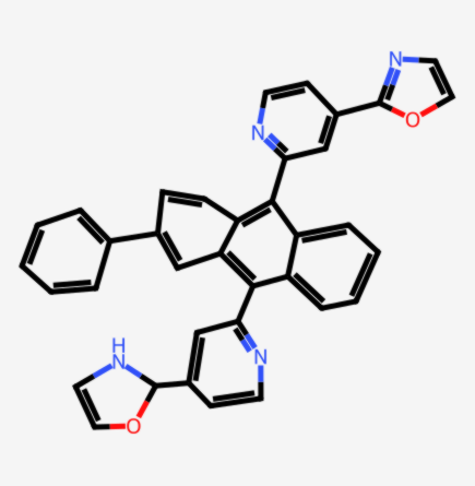 C1=COC(c2ccnc(-c3c4ccccc4c(-c4cc(-c5ncco5)ccn4)c4ccc(-c5ccccc5)cc34)c2)N1